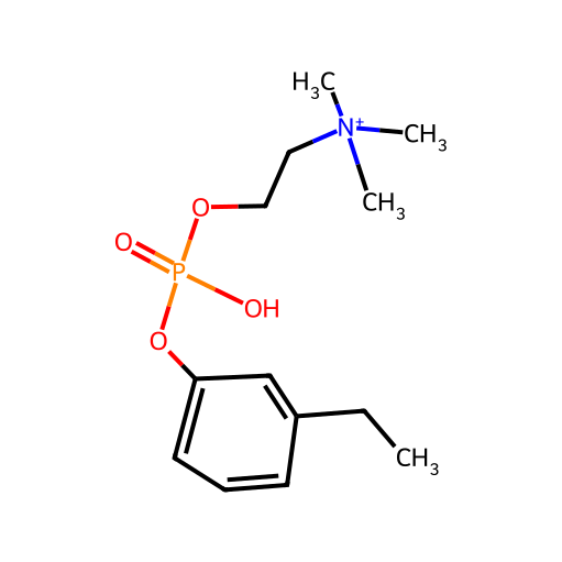 CCc1cccc(OP(=O)(O)OCC[N+](C)(C)C)c1